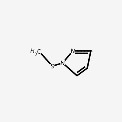 CSn1cc[c]n1